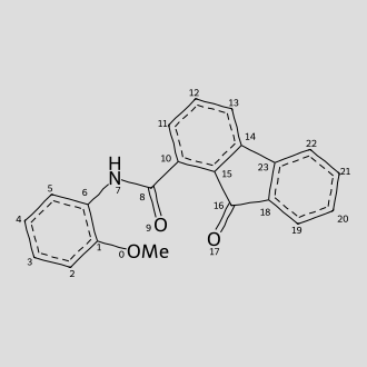 COc1ccccc1NC(=O)c1cccc2c1C(=O)c1ccccc1-2